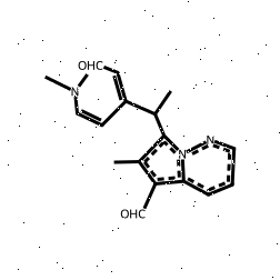 Cc1c(C=O)c2cccnn2c1C(C)C(/C=C\N(C)C)=C/C=O